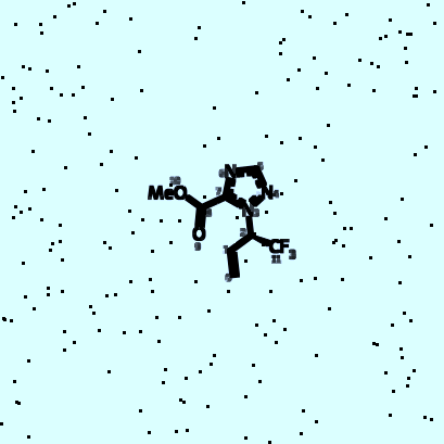 C=C[C@@H](n1ncnc1C(=O)OC)C(F)(F)F